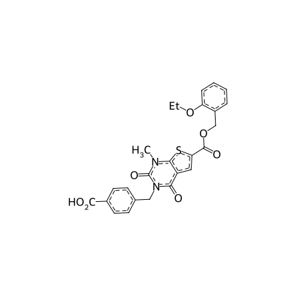 CCOc1ccccc1COC(=O)c1cc2c(=O)n(Cc3ccc(C(=O)O)cc3)c(=O)n(C)c2s1